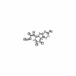 CC(=O)N1CCn2c(cc3c(NC(=O)OC(C)(C)C)cc(Cl)c(Cl)c32)C1